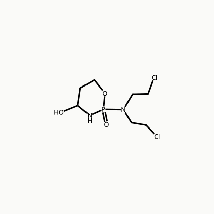 O=P1(N(CCCl)CCCl)NC(O)CCO1